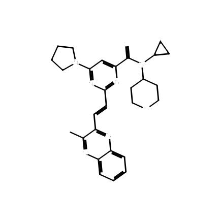 Cc1nc2ccccc2nc1C=Cc1nc(C(=O)N(C2CCOCC2)C2CC2)cc(N2CCCC2)n1